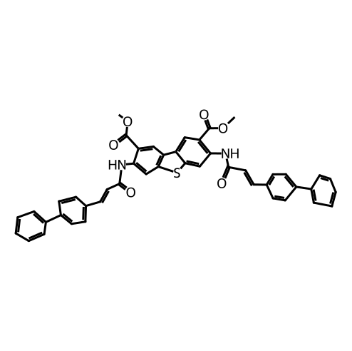 COC(=O)c1cc2c(cc1NC(=O)C=Cc1ccc(-c3ccccc3)cc1)sc1cc(NC(=O)C=Cc3ccc(-c4ccccc4)cc3)c(C(=O)OC)cc12